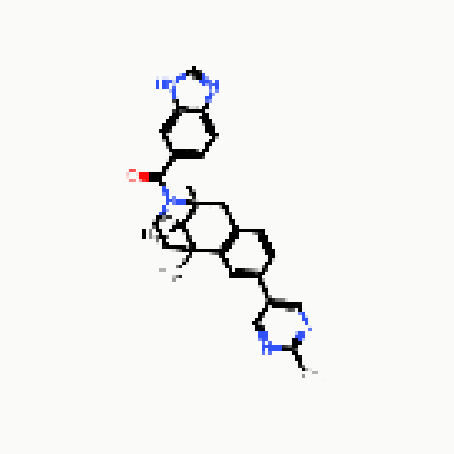 Cc1ncc(-c2ccc3c(c2)[C@]2(C)CCN(C(=O)c4ccc5nc[nH]c5c4)[C@H](C3)[C@H]2C)cn1